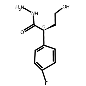 NNC(=O)[C@@H](CCO)c1ccc(F)cc1